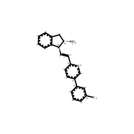 N[C@H]1Cc2ccccc2[C@@H]1/C=C/c1ccc(-c2cccc(F)c2)cn1